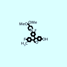 COC(OC)C1CCN(c2ccc(C3=C(c4ccc(F)c(C)c4)COc4cc(O)ccc43)cc2F)CC1